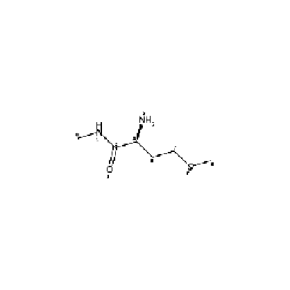 CNC(=O)[C@@H](N)CCSC